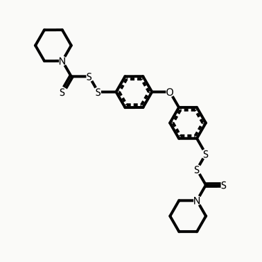 S=C(SSc1ccc(Oc2ccc(SSC(=S)N3CCCCC3)cc2)cc1)N1CCCCC1